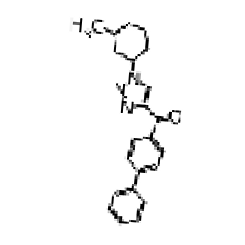 CC1CCCC(n2cc(C(=O)c3ccc(-c4ccccc4)cc3)nn2)C1